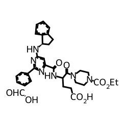 CCOC(=O)N1CCN(C(=O)C(CCC(=O)O)NC(=O)c2cc(N[C@@H]3CCc4ccccc43)nc(-c3ccccc3)n2)CC1.O=CO